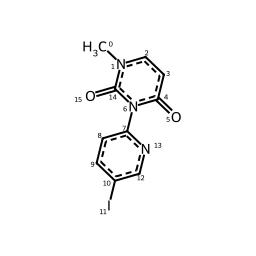 Cn1ccc(=O)n(-c2ccc(I)cn2)c1=O